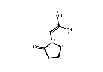 O=C1CCCN1C=C(O)O